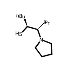 CCCC[C@H](S)[C@H](C(C)C)N1CCCC1